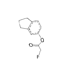 O=C(CF)Oc1ccc2c(c1)CCC2